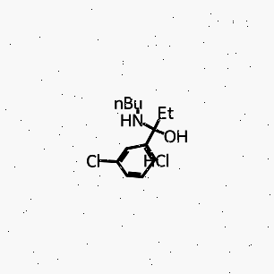 CCCCNC(O)(CC)c1cccc(Cl)c1.Cl